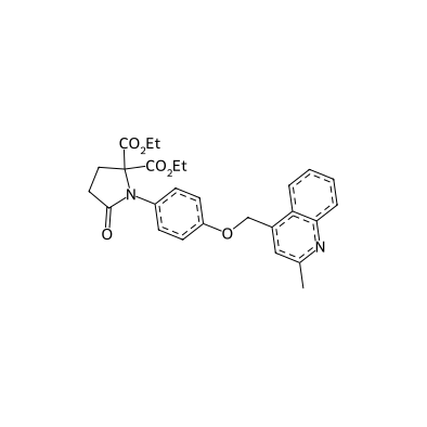 CCOC(=O)C1(C(=O)OCC)CCC(=O)N1c1ccc(OCc2cc(C)nc3ccccc23)cc1